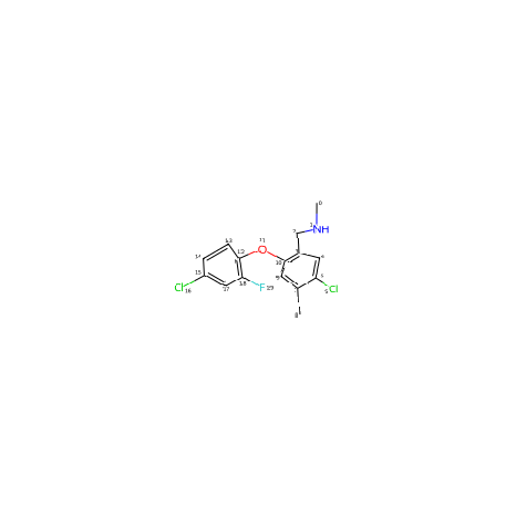 CNCc1cc(Cl)c(C)cc1Oc1ccc(Cl)cc1F